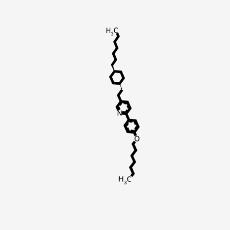 CCCCCCCOc1ccc(-c2ccc(CC[C@H]3CC[C@H](CCCCCCC)CC3)cn2)cc1